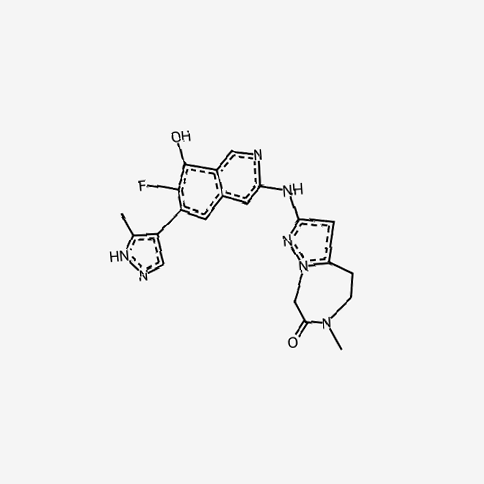 Cc1[nH]ncc1-c1cc2cc(Nc3cc4n(n3)CC(=O)N(C)CC4)ncc2c(O)c1F